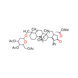 COC(=O)C[C@@]12CC[C@]3(C)C(CCC4[C@@]5(C)CC[C@H](OC6CC(OC(C)=O)C(OC(C)=O)C(COC(C)=O)O6)C(C)(C)C5CC[C@]43C)C1=C(C(C)C)C(=O)C2